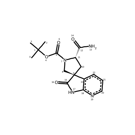 CC(C)(C)OC(=O)N1C[C@]2(C[C@H]1C(N)=O)C(=O)Nc1ncccc12